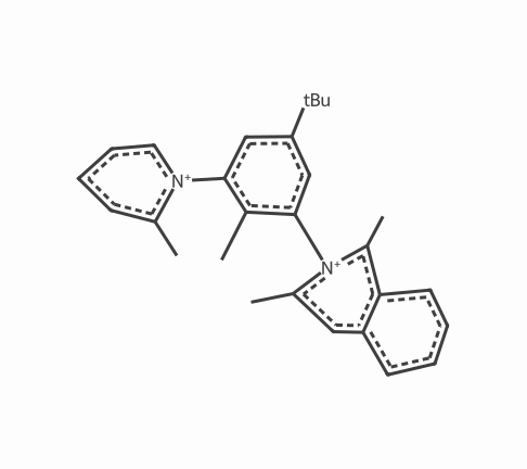 Cc1c(-[n+]2ccccc2C)cc(C(C)(C)C)cc1-[n+]1c(C)cc2ccccc2c1C